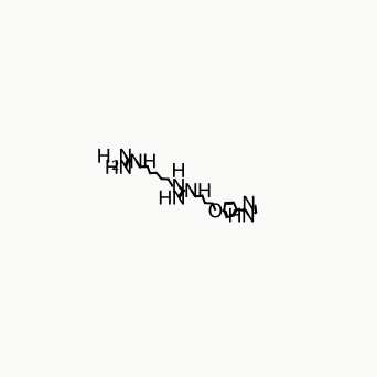 N=C(N)NCCCCCCCNC(=N)NCCCCOc1ccc(C2=NCCN2)cc1